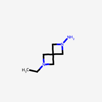 CCN1CC2(CN(N)C2)C1